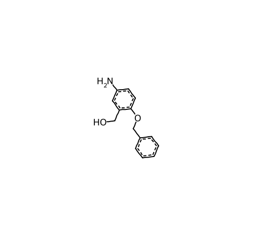 Nc1ccc(OCc2ccccc2)c(CO)c1